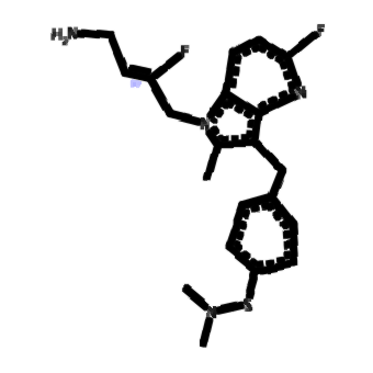 Cc1c(Cc2ccc(SN(C)C)cc2)c2nc(F)ccc2n1C/C(F)=C/CN